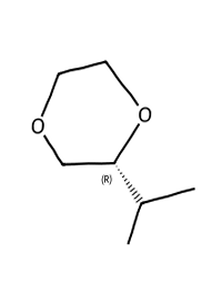 CC(C)[C@@H]1COCCO1